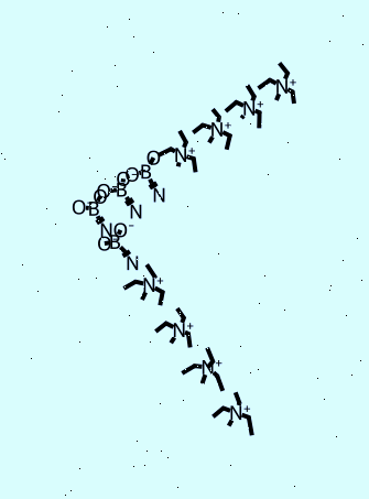 CC[N+](C)(CC)CC.CC[N+](C)(CC)CC.CC[N+](C)(CC)CC.CC[N+](C)(CC)CC.CC[N+](C)(CC)CC.CC[N+](C)(CC)CC.CC[N+](C)(CC)CC.CC[N+](C)(CC)CC.N#CB([O-])[O-].N#CB([O-])[O-].N#CB([O-])[O-].N#CB([O-])[O-]